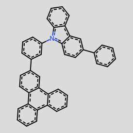 c1ccc(-c2ccc3c(c2)c2ccccc2n3-c2cccc(-c3ccc4c5ccccc5c5ccccc5c4c3)c2)cc1